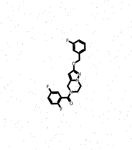 O=C(c1cc(F)ccc1F)N1CCn2nc(OCc3cccc(F)c3)cc2C1